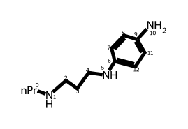 CCCNCCCNc1ccc(N)cc1